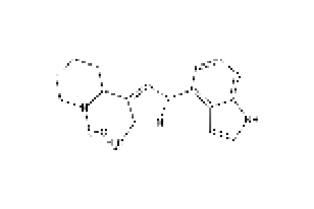 Cc1nn(-c2ccnc3[nH]ccc23)cc1C1CCCCN1C=O